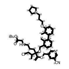 C=C(OCc1cncc(C#N)c1)C(CCCNCC(=O)OCC(C)C)(OCc1cccc(-c2cccc(OCCCN3CCCC3)c2C)c1C)C(C)CCl